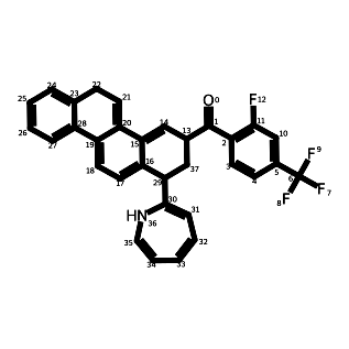 O=C(c1ccc(C(F)(F)F)cc1F)C1C=c2c(ccc3c2=CCc2ccccc2-3)C(C2=CC=CC=CN2)C1